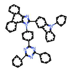 c1ccc(-c2nc(-c3ccccc3)nc(-c3ccc(-n4c(-c5ccc6c(c5)c5ccccc5n6-c5ccccc5)nc5c6ccccc6c6ccccc6c54)cc3)n2)cc1